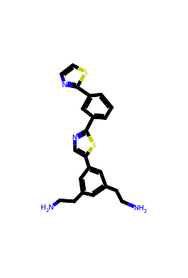 NCCc1cc(CCN)cc(-c2cnc(-c3cccc(-c4nccs4)c3)s2)c1